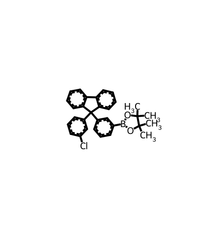 CC1(C)OB(c2cccc(C3(c4cccc(Cl)c4)c4ccccc4-c4ccccc43)c2)OC1(C)C